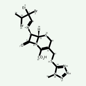 CCC(Br)(C=N[C@@H]1C(=O)N2C(C(=O)O)=C(CSc3nnnn3C)CS[C@@H]12)C(C)Br